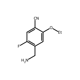 CCOc1cc(CN)c(F)cc1C#N